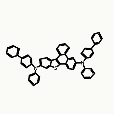 c1ccc(-c2ccc(N(c3ccccc3)c3ccc4c(c3)sc3c5ccc(N(c6ccccc6)c6ccc(-c7ccccc7)cc6)cc5c5ccccc5c43)cc2)cc1